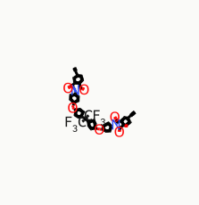 C#Cc1ccc2c(c1)C(=O)N(c1ccc(Oc3ccc(C(c4ccc(Oc5ccc(N6C(=O)c7ccc(C#C)cc7C6=O)cc5)cc4)(C(F)(F)F)C(F)(F)F)cc3)cc1)C2=O